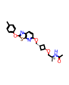 CC(=O)N[C@@H](C)CO[C@H]1C[C@H](COc2ccc3nc(Oc4ccc(C)cc4)sc3n2)C1